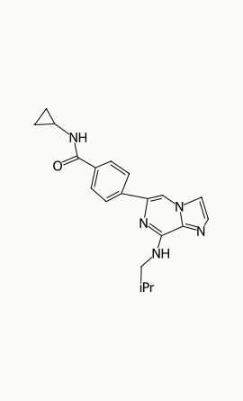 CC(C)CNc1nc(-c2ccc(C(=O)NC3CC3)cc2)cn2ccnc12